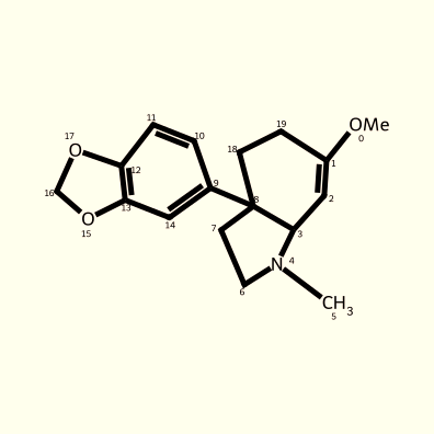 COC1=CC2N(C)CCC2(c2ccc3c(c2)OCO3)CC1